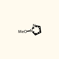 COn1cccn1